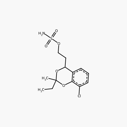 CCC1(C)Oc2c(Cl)cccc2C(CCOS(N)(=O)=O)O1